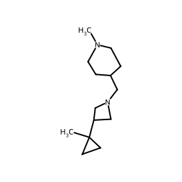 CN1CCC(CN2CC(C3(C)CC3)C2)CC1